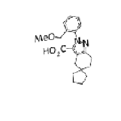 COCc1ccccc1-n1nc2c(c1C(=O)O)CC1(CCCC1)CC2